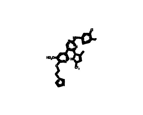 CC1=CC(C(F)(F)F)NN1c1nc(Nc2ccc(F)c(Cl)c2)ncc1-c1cnc(OCCn2ccnc2)c(C(=O)O)c1